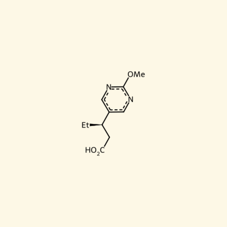 CC[C@H](CC(=O)O)c1cnc(OC)nc1